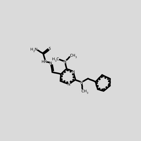 CN(C)c1nc(N(C)Cc2ccccc2)ncc1/C=N/NC(N)=S